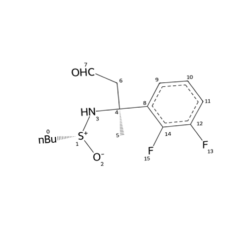 CCCC[S@@+]([O-])N[C@@](C)(CC=O)c1cccc(F)c1F